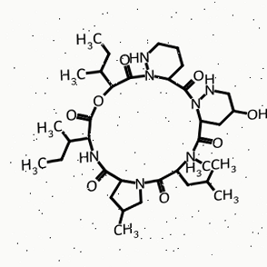 CCC(C)C1NC(=O)C2CC(C)CN2C(=O)C(CC(C)C)N(C)C(=O)C2CC(O)CNN2C(=O)C2CCCNN2C(=O)C(C(C)CC)OC1=O